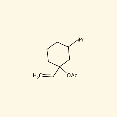 C=CC1(OC(C)=O)CCCC(C(C)C)C1